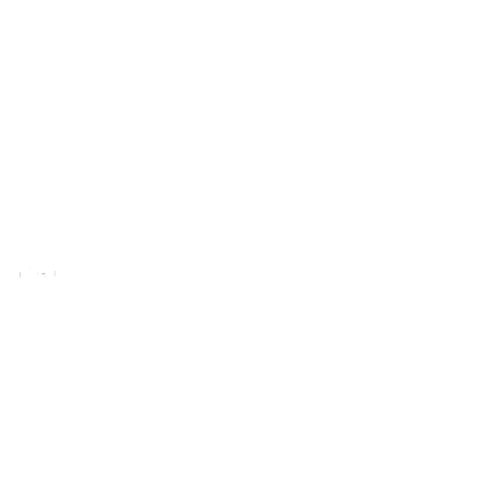 CC#CC#Cc1ccc(-c2ccc(-c3ccc(C4CCC(CCCCC)CC4)cc3)c(F)c2)cc1